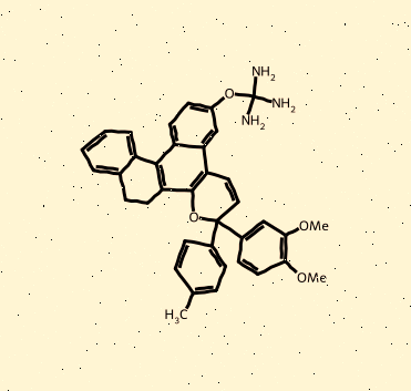 COc1ccc(C2(c3ccc(C)cc3)C=Cc3c(c4c(c5ccc(OC(N)(N)N)cc35)-c3ccccc3CC4)O2)cc1OC